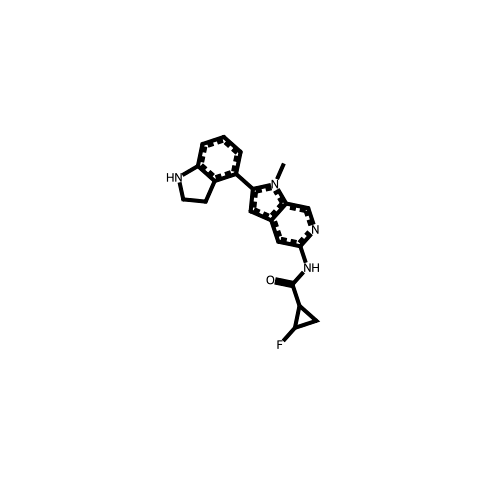 Cn1c(-c2cccc3c2CCN3)cc2cc(NC(=O)C3CC3F)ncc21